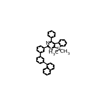 C[Si]1(C)c2ccccc2-c2c(-c3ccccc3)nc(-c3cccc(-c4cccc(-c5cccc6ccccc56)c4)c3)nc21